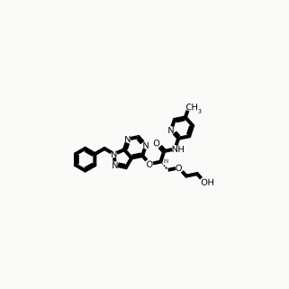 Cc1ccc(NC(=O)[C@H](COCCO)Oc2ncnc3c2cnn3Cc2ccccc2)nc1